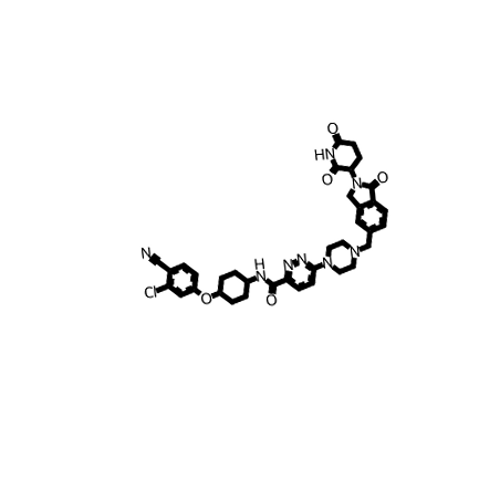 N#Cc1ccc(OC2CCC(NC(=O)c3ccc(N4CCN(Cc5ccc6c(c5)CN(C5CCC(=O)NC5=O)C6=O)CC4)nn3)CC2)cc1Cl